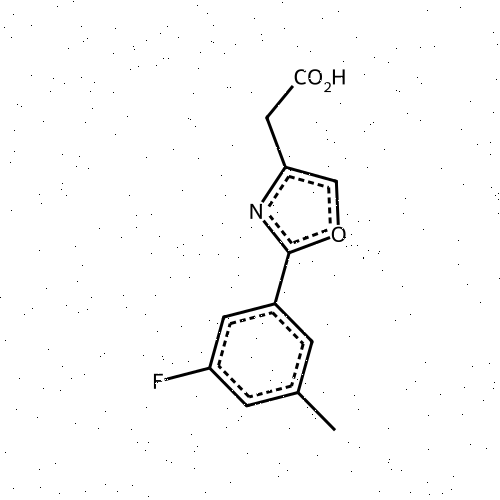 Cc1cc(F)cc(-c2nc(CC(=O)O)co2)c1